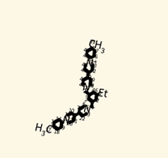 CCc1cc(C[n+]2ccc(-c3cc[n+](-c4ccc(C)cc4)cc3)cc2)cc(C[n+]2ccc(-c3cc[n+](-c4ccc(C)cc4)cc3)cc2)c1